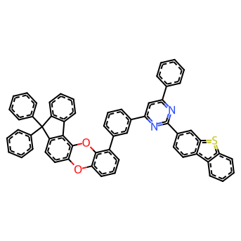 c1ccc(-c2cc(-c3cccc(-c4cccc5c4Oc4c(ccc6c4-c4ccccc4C6(c4ccccc4)c4ccccc4)O5)c3)nc(-c3ccc4c(c3)sc3ccccc34)n2)cc1